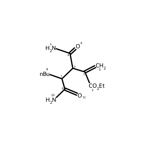 C=C(C(=O)OCC)C(C(N)=O)C(CCCC)C(N)=O